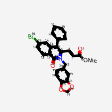 COC(=O)C=Cc1c(-c2ccccc2)c2cc(Br)ccc2c(=O)n1Cc1ccc2c(c1)OCO2